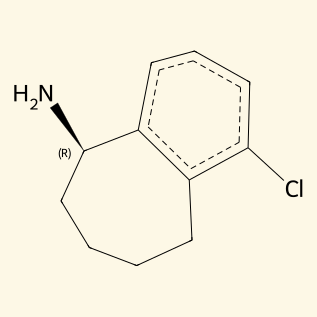 N[C@@H]1CCCCc2c(Cl)cccc21